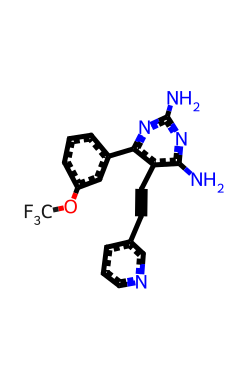 Nc1nc(N)c(C#Cc2cccnc2)c(-c2cccc(OC(F)(F)F)c2)n1